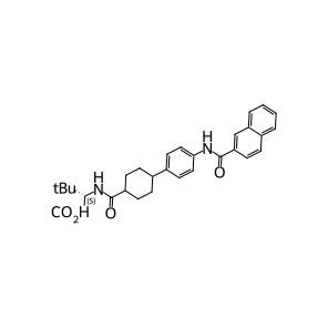 CC(C)(C)[C@H](NC(=O)C1CCC(c2ccc(NC(=O)c3ccc4ccccc4c3)cc2)CC1)C(=O)O